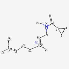 C=C(C1CC1)N(C)C/C=C(\C)CCC=C(C)C